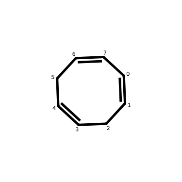 C1=CCC=CCC=C1